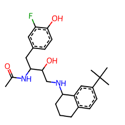 CC(=O)NC(Cc1ccc(O)c(F)c1)C(O)CNC1CCCc2ccc(C(C)(C)C)cc21